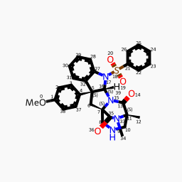 COc1ccc([C@]23C[C@@]45CNC[C@@](C)(C(=O)N4[C@H]2N(S(=O)(=O)c2ccccc2)c2ccccc23)N(C)C5=O)cc1